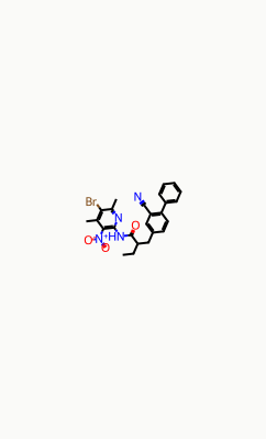 CCC(Cc1ccc(-c2ccccc2)c(C#N)c1)C(=O)Nc1nc(C)c(Br)c(C)c1[N+](=O)[O-]